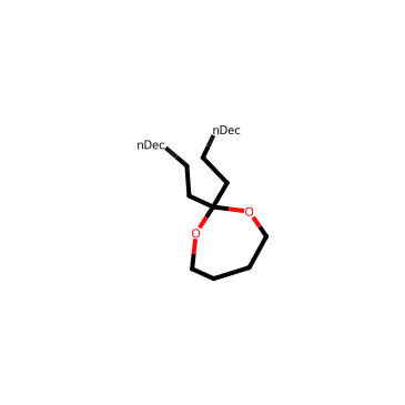 CCCCCCCCCCCCC1(CCCCCCCCCCCC)OCCCCO1